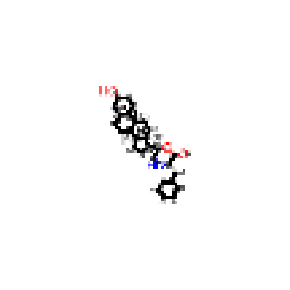 C[C@]12CC[C@@H](O)CC1=CC[C@@H]1[C@H]2CC[C@]2(C)C([C@]3(C)CN[C@@H](Cc4ccccc4)C(=O)O3)CC[C@@H]12